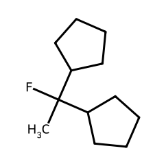 CC(F)(C1CCCC1)C1CCCC1